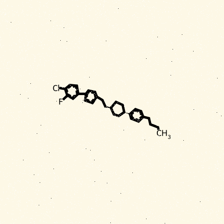 CCCCc1ccc([C@H]2CC[C@H](CCc3ccc(-c4ccc(Cl)c(F)c4)cc3)CC2)cc1